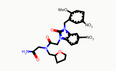 COc1ccc([N+](=O)[O-])cc1Cn1c(=O)n(CC(=O)N(CC(N)=O)CC2CCCO2)c2ccc([N+](=O)[O-])cc21